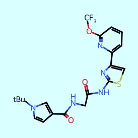 CC(C)(C)n1ccc(C(=O)NCC(=O)Nc2nc(-c3cccc(OC(F)(F)F)n3)cs2)c1